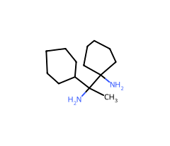 CC(N)(C1CCCCC1)C1(N)CCCCC1